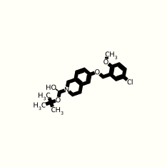 COc1ccc(Cl)cc1COc1ccc2c(c1)CCN([C@@H](O)OC(C)(C)C)C2